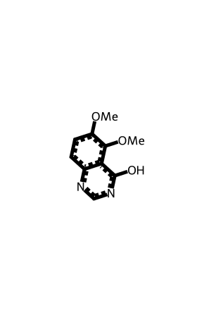 COc1ccc2ncnc(O)c2c1OC